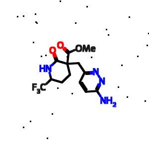 COC(=O)C1(Cc2ccc(N)nn2)CCC(C(F)(F)F)NC1=O